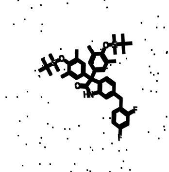 Cc1cc(C2(c3cc(C)c(O[Si](C)(C)C(C)(C)C)c(C)c3)C(=O)Nc3cc(Cc4ccc(F)cc4F)ccc32)cc(C)c1O[Si](C)(C)C(C)(C)C